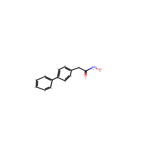 O=C(Cc1ccc(-c2ccccc2)cc1)NO